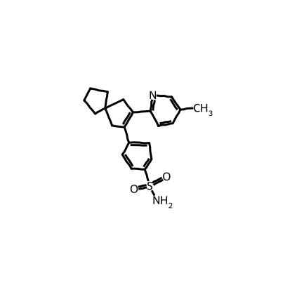 Cc1ccc(C2=C(c3ccc(S(N)(=O)=O)cc3)CC3(CCCC3)C2)nc1